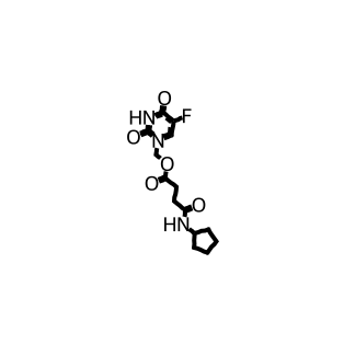 O=C(CCC(=O)OCn1cc(F)c(=O)[nH]c1=O)NC1CCCC1